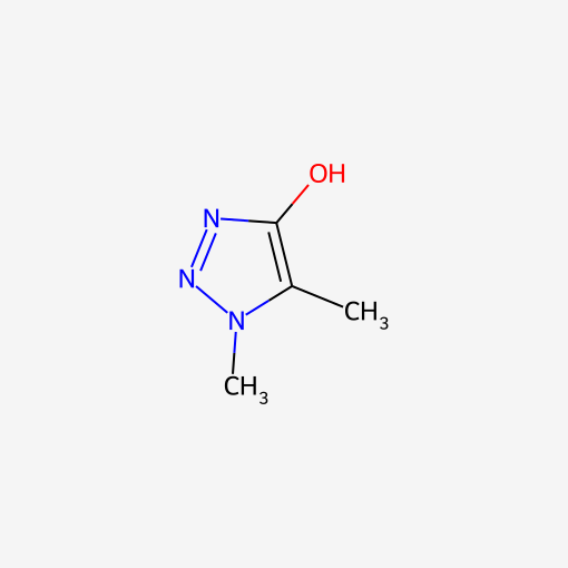 Cc1c(O)nnn1C